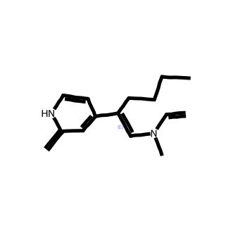 C=CN(C)/C=C(\CCCC)C1=CC(=C)NC=C1